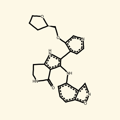 O=C1NCCc2[nH]c(-c3ccncc3OC[C@H]3CCCO3)c(Nc3cccc4oncc34)c21